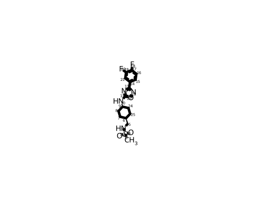 CS(=O)(=O)NC[C@H]1CC[C@H](Nc2nc(-c3ccc(F)c(F)c3)no2)CC1